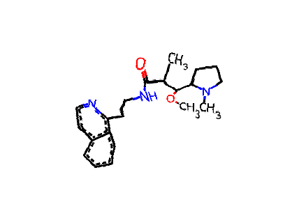 COC(C(C)C(=O)NCCc1nccc2ccccc12)C1CCCN1C